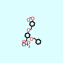 COC(=O)c1ccc(OCc2ccc3c(c2)OCO3)cc1OCc1ccccc1